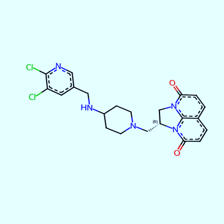 O=c1ccc2ccc(=O)n3c2n1C[C@H]3CN1CCC(NCc2cnc(Cl)c(Cl)c2)CC1